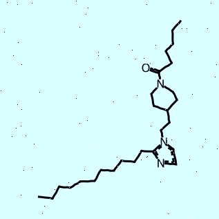 CCCCCCCCCCCc1nccn1CCC1CCN(C(=O)CCCCC)CC1